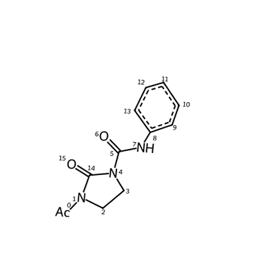 CC(=O)N1CCN(C(=O)Nc2ccccc2)C1=O